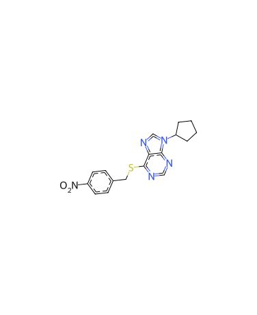 O=[N+]([O-])c1ccc(CSc2ncnc3c2ncn3C2CCCC2)cc1